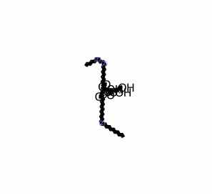 CCCCC/C=C\C/C=C\CCCCCCCC(=O)O[C@H](COC(=O)CCCCCCCCC/C=C\CCCCCCCCCC)COP(=O)(O)OC[C@@H](O)CO